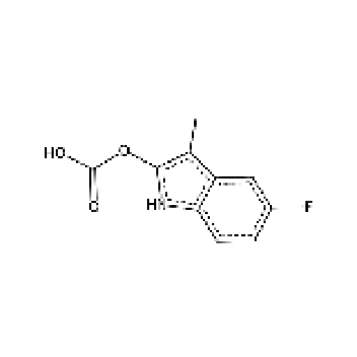 Cc1c(OC(=O)O)[nH]c2ccc(F)cc12